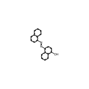 Oc1ccc(N=Nc2cccc3ccccc23)c2ccccc12